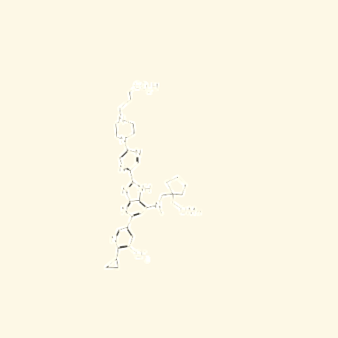 COCC1(CN(C)c2cc(-c3cnc(C4CC4)c(C(F)(F)F)c3)nc3nc(-c4cnc(N5CCN(CCCC(=O)O)CC5)cn4)[nH]c23)CCCC1